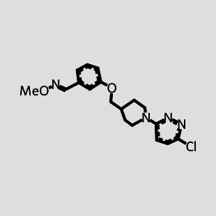 CON=Cc1cccc(OCC2CCN(c3ccc(Cl)nn3)CC2)c1